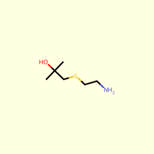 CC(C)(O)CSCCN